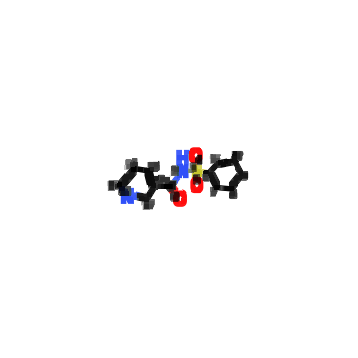 O=C(NS(=O)(=O)c1ccccc1)c1cccnc1